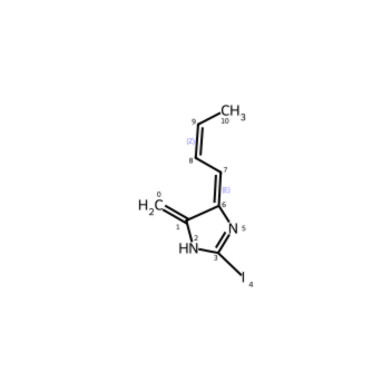 C=c1[nH]c(I)n/c1=C/C=C\C